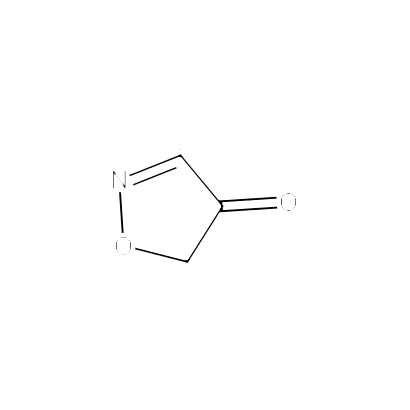 O=C1[C]=NOC1